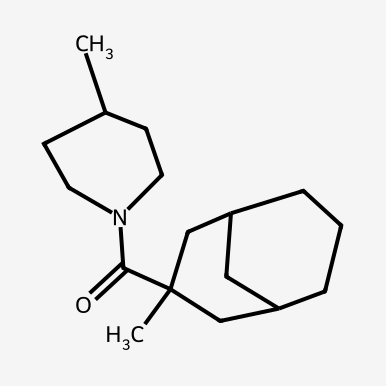 CC1CCN(C(=O)C2(C)CC3CCCC(C3)C2)CC1